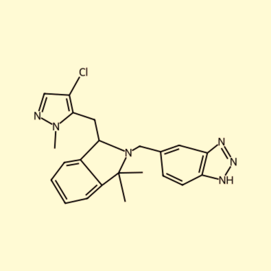 Cn1ncc(Cl)c1CC1c2ccccc2C(C)(C)N1Cc1ccc2[nH]nnc2c1